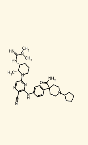 C[C@@H]1[C@H](NC(=N)N(C)C)CCCN1c1cnc(C#N)c(Nc2ccc(C3(C(N)=O)CCN(C4CCCC4)CC3)cc2)n1